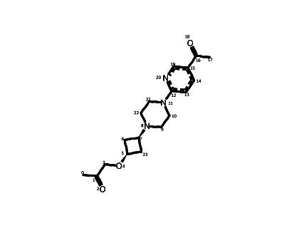 CC(=O)CO[C@H]1C[C@@H](N2CCN(c3ccc(C(C)=O)cn3)CC2)C1